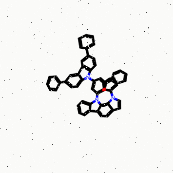 c1ccc(-c2cc(-n3c4ccc(-c5ccccc5)cc4c4cc(-c5ccccc5)ccc43)cc(-n3c4ccccc4c4ccc5ccn(-c6ccccc6)c5c43)c2)cc1